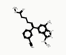 COC(=O)CCC/C=C(\c1cccc(C#N)c1)c1cc(C)c2onc(OC)c2c1